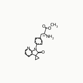 COC(=O)[C@@H](N)Cc1ccc(N2C(=O)C3(CC3)c3cccnc32)cc1